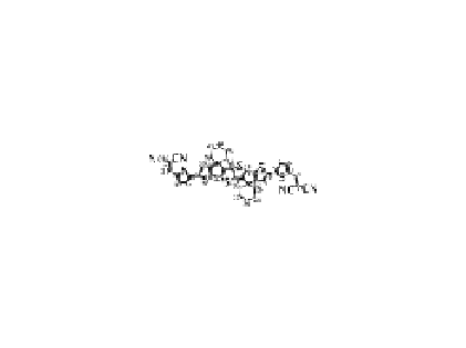 N#CC(C#N)=Cc1ccc(-c2cc3c(s2)-c2sc4c5c(sc4c2C32CCCCC2)-c2sc(-c3ccc(C=C(C#N)C#N)s3)cc2C52CCCCC2)s1